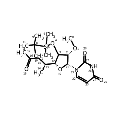 CO[C@H]1C(O[Si](C)(C)C(C)(C)C)[C@@H]([C@@H](C)CC(C)=O)O[C@H]1n1ccc(=O)[nH]c1=O